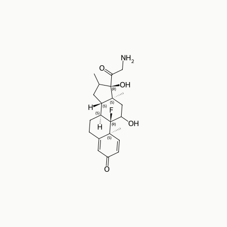 CC1C[C@H]2[C@@H]3CCC4=CC(=O)C=C[C@]4(C)[C@@]3(F)C(O)C[C@]2(C)[C@@]1(O)C(=O)CN